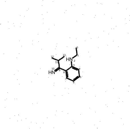 CCNc1ccccc1C(=N)C(C)C